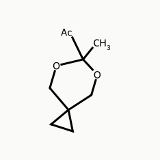 CC(=O)C1(C)OCC2(CC2)CO1